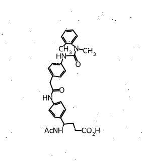 CC(=O)NC(CCC(=O)O)c1ccc(NC(=O)Cc2ccc(NC(=O)N(C)c3ccccc3C)cc2)cc1